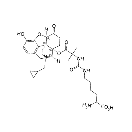 CC(C)(NC(=O)NCCCCC(N)C(=O)O)C(=O)O[C@@]12CCC(=O)[C@@H]3Oc4c(O)ccc5c4[C@@]31CCN(CC1CC1)[C@@H]2C5